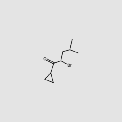 CC(C)CC(Br)C(=O)C1CC1